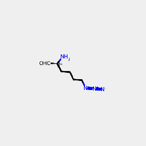 [N-]=[N+]=NCCCC[C@H](N)C=O